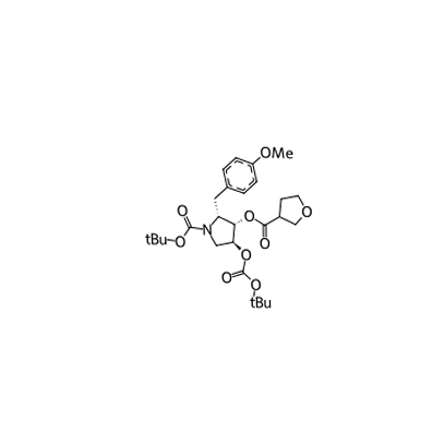 COc1ccc(C[C@@H]2[C@H](OC(=O)C3CCOC3)[C@@H](OC(=O)OC(C)(C)C)CN2C(=O)OC(C)(C)C)cc1